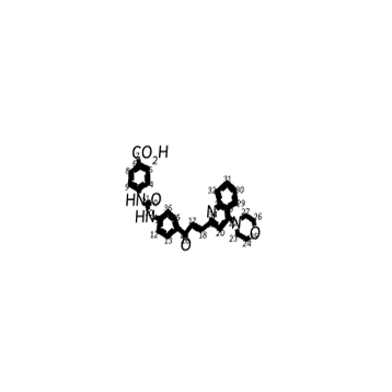 O=C(Nc1ccc(C(=O)O)cc1)Nc1ccc(C(=O)C=Cc2cc(N3CCOCC3)c3ccccc3n2)cc1